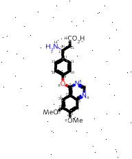 COc1cc2ncnc(Oc3ccc([C@H](N)CC(=O)O)cc3)c2cc1OC